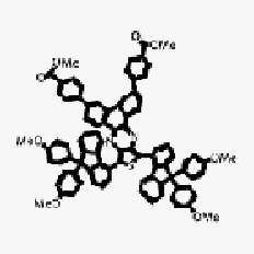 COC(=O)c1ccc(-c2ccc3c(c2)c2cc(-c4ccc(C(=O)OC)cc4)ccc2c2nc4c(-c5cccc6c5-c5ccccc5C6(c5ccc(OC)cc5)c5ccc(OC)cc5)sc(-c5cccc6c5-c5ccccc5C6(c5ccc(OC)cc5)c5ccc(OC)cc5)c4nc32)cc1